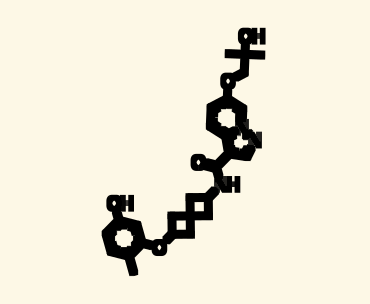 Cc1ccc(O)cc1OC1CC2(CC(NC(=O)c3cnn4cc(OCC(C)(C)O)ccc34)C2)C1